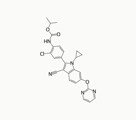 CC(C)OC(=O)Nc1ccc(-c2c(C#N)c3ccc(Oc4ncccn4)cc3n2C2CC2)cc1Cl